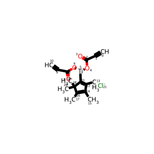 C#CC(=O)[O][Ti+]([O]C(=O)C#C)[C]1=C(C)C(C)=C(C)C1(C)C.[Cl-]